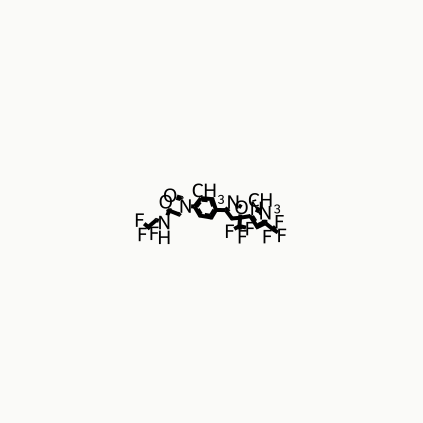 Cc1cc(C2=NOC(c3cc(C(F)(F)F)nn3C)(C(F)(F)F)C2)ccc1N(C=O)CC(=O)NCC(F)(F)F